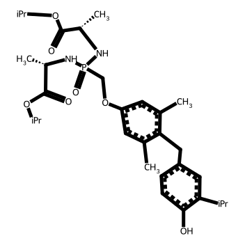 Cc1cc(OCP(=O)(N[C@@H](C)C(=O)OC(C)C)N[C@@H](C)C(=O)OC(C)C)cc(C)c1Cc1ccc(O)c(C(C)C)c1